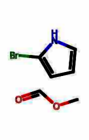 Brc1ccc[nH]1.COC=O